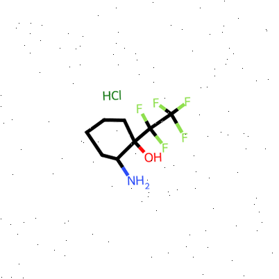 Cl.NC1CCCCC1(O)C(F)(F)C(F)(F)F